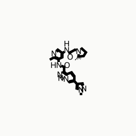 Cc1ncc(NC(=O)CN2CCC[C@@H]2C)cc1NC(=O)c1nnn2cc(-c3cnn(C)c3)ccc12